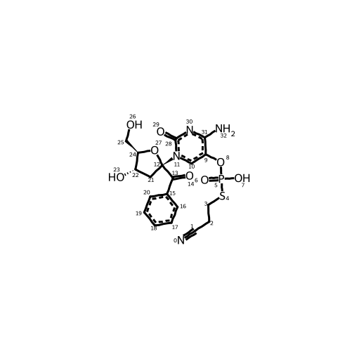 N#CCCSP(=O)(O)Oc1cn([C@@]2(C(=O)c3ccccc3)C[C@H](O)[C@@H](CO)O2)c(=O)nc1N